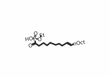 CCCCCCCCC=CCCCCCCCC(=O)P(=O)(O)OCC